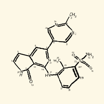 Cc1ncc(-c2cc3cc[nH]c(=O)c3c(Nc3cccc(S(N)(=O)=O)c3C)n2)cn1